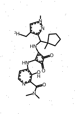 [2H]Cc1cn(C)nc1C(Nc1c(Nc2ccnc(C(=O)N(C)C)c2O)c(=O)c1=O)C1(C)CCCC1